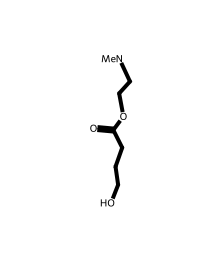 CNCCOC(=O)CCCO